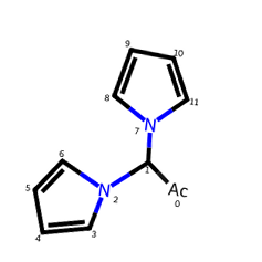 CC(=O)C(n1cccc1)n1cccc1